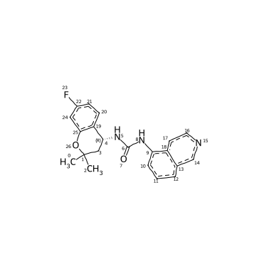 CC1(C)C[C@@H](NC(=O)Nc2cccc3cnccc23)c2ccc(F)cc2O1